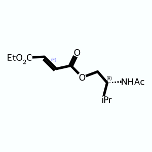 CCOC(=O)/C=C/C(=O)OC[C@H](NC(C)=O)C(C)C